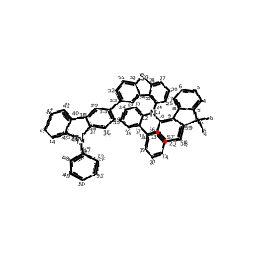 CC1(C)c2ccccc2-c2c(N(c3ccccc3-c3ccccc3)c3cccc4sc5ccc(-c6ccc7c(c6)c6ccccc6n7-c6ccccc6)cc5c34)cccc21